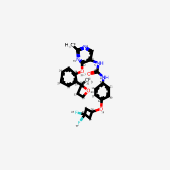 Cc1ncc(NC(=O)Nc2ccc(OC3CC(F)(F)C3)cc2)c(Oc2ccccc2C2(C(F)(F)F)CCO2)n1